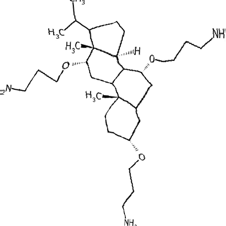 CC(C)C1CC[C@H]2C3C(C[C@H](OCCCN)[C@]12C)[C@@]1(C)CC[C@@H](OCCCN)CC1C[C@H]3OCCCN